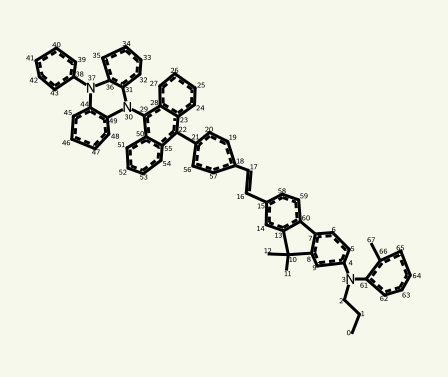 CCCN(c1ccc2c(c1)C(C)(C)c1cc(/C=C/c3ccc(-c4c5ccccc5c(N5c6ccccc6N(c6ccccc6)c6ccccc65)c5ccccc45)cc3)ccc1-2)c1ccccc1C